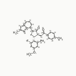 COc1cc(F)c([C@@H]2CN(c3cccn4cc(C)nc34)C(=O)[C@H]2CC(=O)c2ccc(C)cc2)c(P)c1